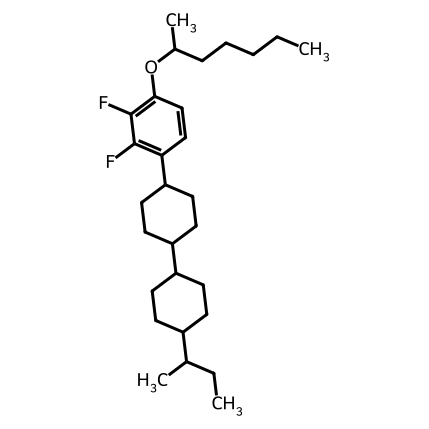 CCCCCC(C)Oc1ccc(C2CCC(C3CCC(C(C)CC)CC3)CC2)c(F)c1F